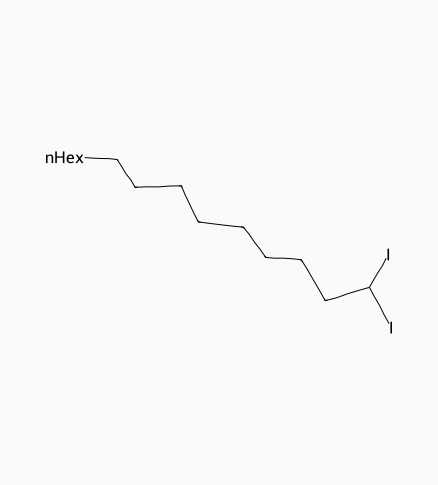 CCCCCCCCCCCCCCC(I)I